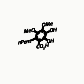 CCCCCc1c(OC)c(OC)c(O)c(O)c1C(=O)O